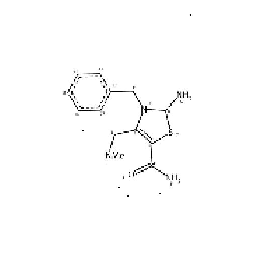 CNCC1=C(C(N)=O)SC(N)N1Cc1ccccc1